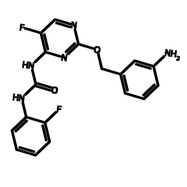 Nc1cccc(COc2ncc(F)c(NC(=O)Nc3ccccc3F)n2)c1